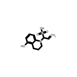 C=CC(N1CCCc2c(O)cccc21)S(=O)(=O)O